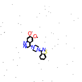 COc1cc2nncc(N3CCN(c4nsc5ccccc45)CC3)c2cc1OC